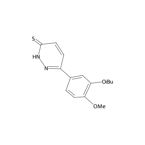 COc1ccc(-c2ccc(=S)[nH]n2)cc1OCC(C)C